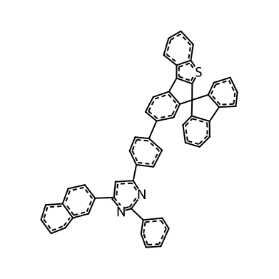 c1ccc(-c2nc(-c3ccc(-c4ccc5c(c4)C4(c6ccccc6-c6ccccc64)c4sc6ccccc6c4-5)cc3)cc(-c3ccc4ccccc4c3)n2)cc1